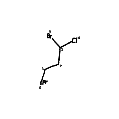 CCCCCC(Cl)Br